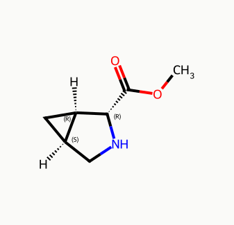 COC(=O)[C@@H]1NC[C@H]2C[C@H]21